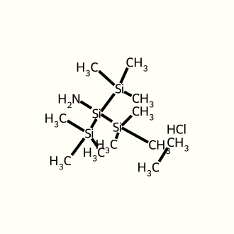 CC.C[Si](C)(C)[Si](N)([Si](C)(C)C)[Si](C)(C)C.Cl